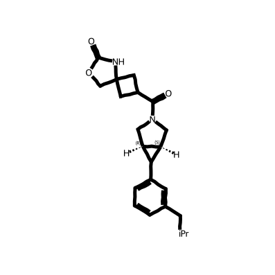 CC(C)Cc1cccc(C2[C@H]3CN(C(=O)C4CC5(COC(=O)N5)C4)C[C@@H]23)c1